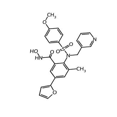 COc1ccc(S(=O)(=O)N(Cc2cccnc2)c2c(C)cc(-c3ccco3)cc2C(=O)NO)cc1